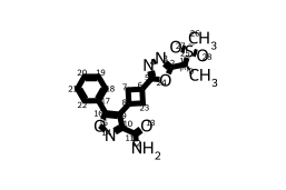 C[C@H](c1nnc(C2CC(c3c(C(N)=O)noc3-c3ccccc3)C2)o1)S(C)(=O)=O